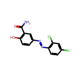 NC(=O)c1cc(/N=N/c2ccc(Cl)cc2Cl)ccc1O